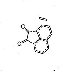 C=C.O=C1C(=O)c2cccc3cccc1c23